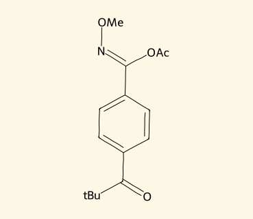 CON=C(OC(C)=O)c1ccc(C(=O)C(C)(C)C)cc1